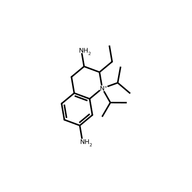 CCC1C(N)Cc2ccc(N)cc2[N+]1(C(C)C)C(C)C